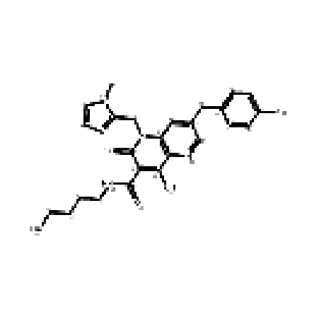 Cn1ccnc1Cn1c(=O)c(C(=O)NCCCCO)c(O)c2ncc(Cc3ccc(F)cc3)cc21